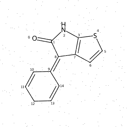 O=C1Nc2sccc2C1=C1C=CCC=C1